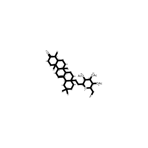 CC(=O)OC1C(CF)OC(CCC23CCC4C(=CCC5C4(C)CCC4C(C)C(=O)CCC45C)C2CC(C)(C)CC3)C(OC(C)=O)C1OC(C)=O